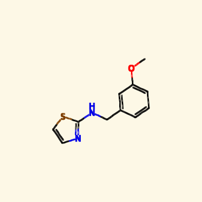 COc1cccc(CNc2nccs2)c1